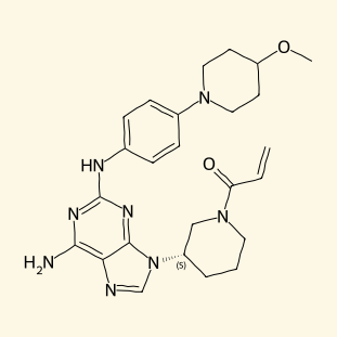 C=CC(=O)N1CCC[C@H](n2cnc3c(N)nc(Nc4ccc(N5CCC(OC)CC5)cc4)nc32)C1